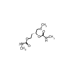 CNC(=O)OCC[C@H](CSC)OC(=O)NC